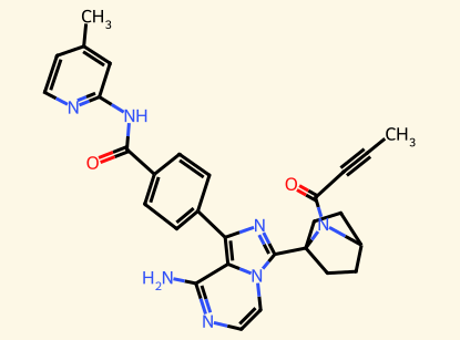 CC#CC(=O)N1C2CCC1(c1nc(-c3ccc(C(=O)Nc4cc(C)ccn4)cc3)c3c(N)nccn13)CC2